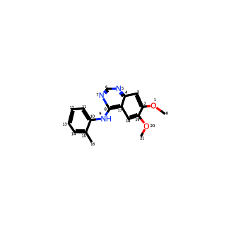 COc1cc2ncnc(Nc3ccccc3C)c2cc1OC